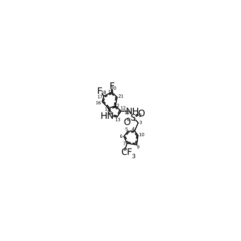 O=S(=O)(Cc1ccc(C(F)(F)F)cc1)Nc1c[nH]c2cc(F)c(F)cc12